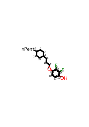 CCCCCC1CCC(CCCOc2ccc(O)c(F)c2F)CC1